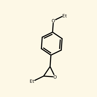 CCOc1ccc(C2OC2CC)cc1